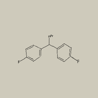 [CH2]CCC(c1ccc(F)cc1)c1ccc(F)cc1